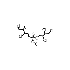 S=P(OCl)(OCC(Cl)C(Cl)CCl)OCC(Cl)C(Cl)CCl